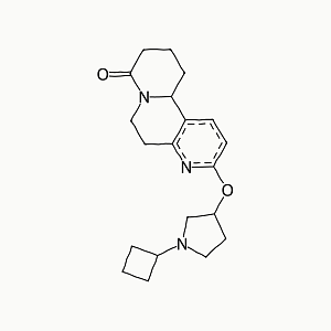 O=C1CCCC2c3ccc(OC4CCN(C5CCC5)C4)nc3CCN12